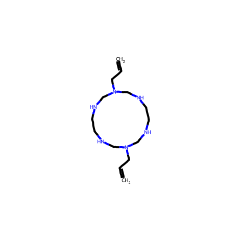 C=CCN1CNCCNCN(CC=C)CNCCNC1